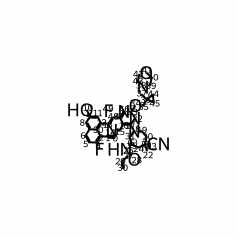 C#Cc1c(F)ccc2cc(O)cc(-c3ncc4c(N5CC[C@](C)(C#N)C[C@H](NC(=O)C=C)C5)nc(OCC5(CN6CCOCC6)CC5)nc4c3F)c12